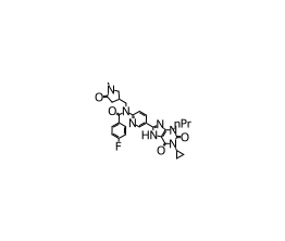 CCCn1c(=O)n(C2CC2)c(=O)c2[nH]c(-c3ccc(N(CC4CC(=O)N(C)C4)C(=O)c4ccc(F)cc4)nc3)nc21